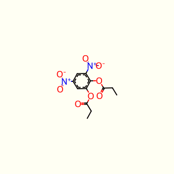 CCC(=O)Oc1cc([N+](=O)[O-])cc([N+](=O)[O-])c1OC(=O)CC